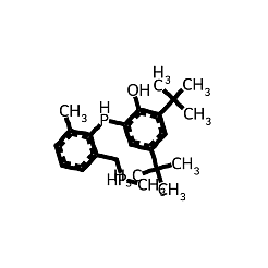 CPCc1cccc(C)c1Pc1cc(C(C)(C)C)cc(C(C)(C)C)c1O